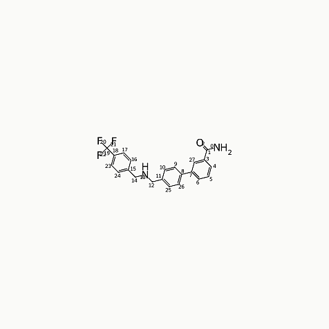 NC(=O)c1cccc(-c2ccc(CNCc3ccc(C(F)(F)F)cc3)cc2)c1